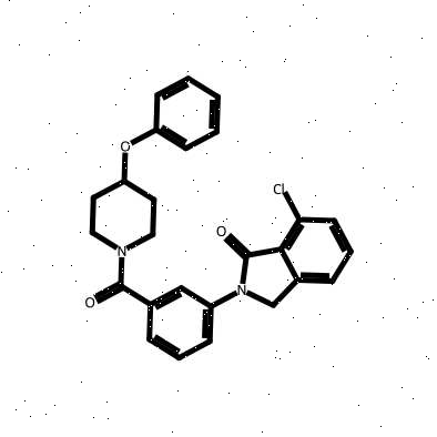 O=C(c1cccc(N2Cc3cccc(Cl)c3C2=O)c1)N1CCC(Oc2ccccc2)CC1